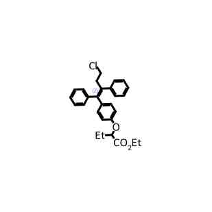 CCOC(=O)C(CC)Oc1ccc(/C(=C(/CCCl)c2ccccc2)c2ccccc2)cc1